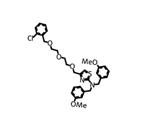 COc1cccc(CN(Cc2cccc(OC)c2)c2nc(COCCOCCOCc3ccccc3Cl)cs2)c1